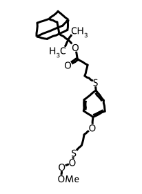 COOOSCCOc1ccc(SCCC(=O)OC(C)(C)C23CC4CC(CC(C4)C2)C3)cc1